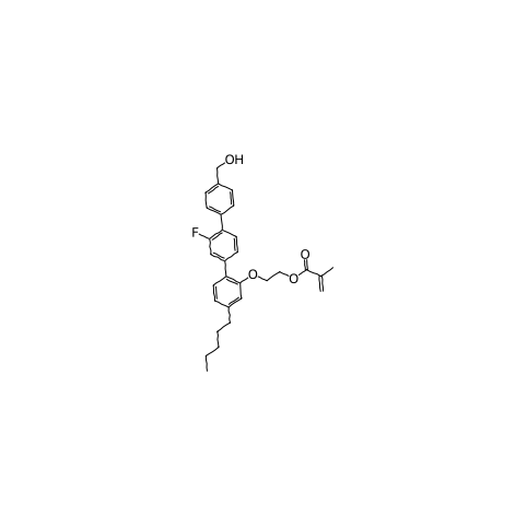 C=C(C)C(=O)OCCOc1cc(CCCCC)ccc1-c1ccc(-c2ccc(CO)cc2)c(F)c1